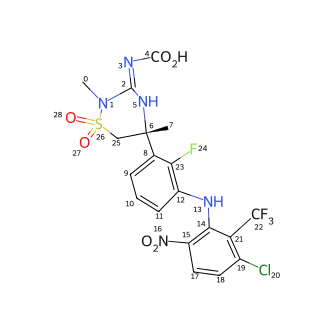 CN1/C(=N/C(=O)O)N[C@](C)(c2cccc(Nc3c([N+](=O)[O-])ccc(Cl)c3C(F)(F)F)c2F)CS1(=O)=O